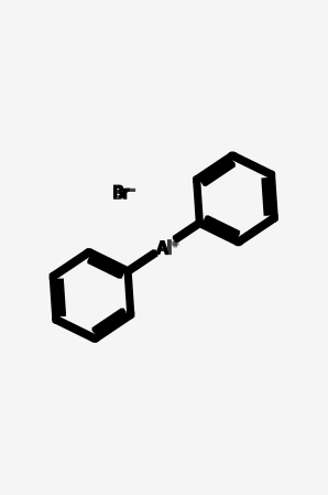 [Br-].c1cc[c]([Al+][c]2ccccc2)cc1